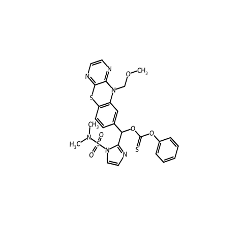 COCN1c2cc(C(OC(=S)Oc3ccccc3)c3nccn3S(=O)(=O)N(C)C)ccc2Sc2nccnc21